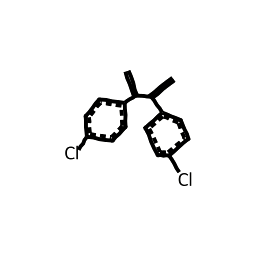 C=C(C(=C)c1ccc(Cl)cc1)c1ccc(Cl)cc1